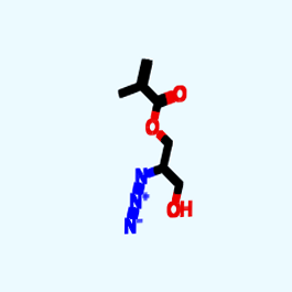 C=C(C)C(=O)OCC(CO)N=[N+]=[N-]